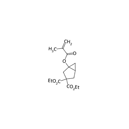 C=C(C)C(=O)OC12CC1CC(C(=O)OCC)(C(=O)OCC)C2